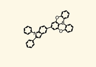 c1ccc(-c2cc3cc(-c4cc5c6c(c4)Oc4ccccc4B6c4ccccc4O5)ccc3n2-c2ccccc2)cc1